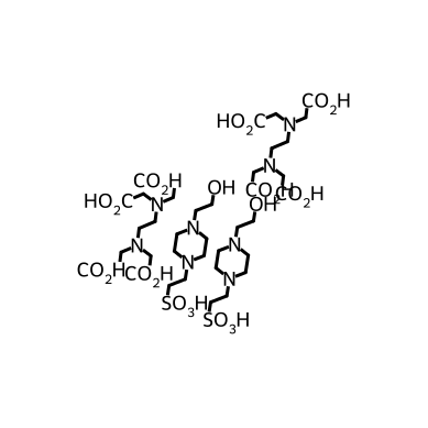 O=C(O)CN(CCN(CC(=O)O)CC(=O)O)CC(=O)O.O=C(O)CN(CCN(CC(=O)O)CC(=O)O)CC(=O)O.O=S(=O)(O)CCN1CCN(CCO)CC1.O=S(=O)(O)CCN1CCN(CCO)CC1